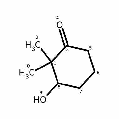 CC1(C)C(=O)CCCC1O